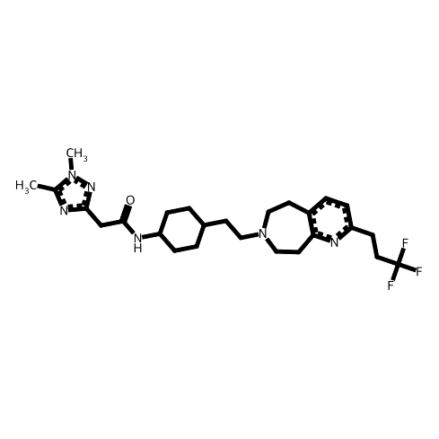 Cc1nc(CC(=O)NC2CCC(CCN3CCc4ccc(CCC(F)(F)F)nc4CC3)CC2)nn1C